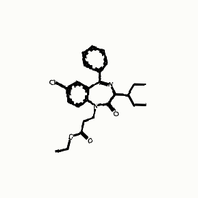 CCOC(=O)CCN1C(=O)C(C(CC)CC)N=C(c2ccccc2)c2cc(Cl)ccc21